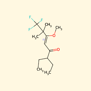 CCC(CC)C(=O)/C=C(\OC)C(C)(C)C(F)(F)F